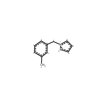 [CH2]c1cccc(Cn2cccn2)c1